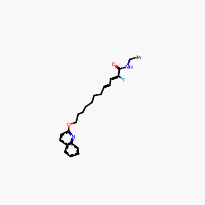 CC(C)CNC(=O)C(F)=CC=CCCCCCCCOc1ccc2ccccc2n1